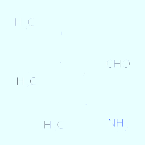 C/C=C(C)/C(C=O)=C(\C)N